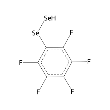 Fc1c(F)c(F)c([Se][SeH])c(F)c1F